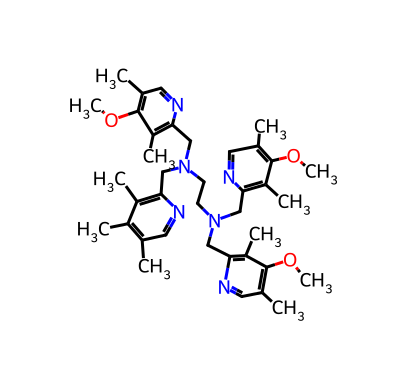 COc1c(C)cnc(CN(CCN(Cc2ncc(C)c(OC)c2C)Cc2ncc(C)c(OC)c2C)Cc2ncc(C)c(C)c2C)c1C